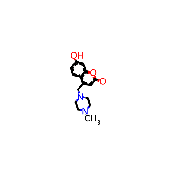 CN1CCN(Cc2cc(=O)oc3cc(O)ccc23)CC1